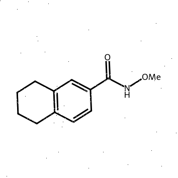 CONC(=O)c1ccc2c(c1)CCCC2